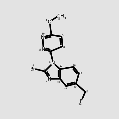 COc1ccc(-n2c(Br)nc3cc(CF)ccc32)nn1